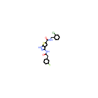 O=C(Cc1cccc(F)c1)Nc1n[nH]c2sc(C(=O)NCc3ccccc3Cl)cc12